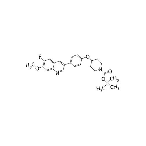 COc1cc2ncc(-c3ccc(OC4CCN(C(=O)OC(C)(C)C)CC4)cc3)cc2cc1F